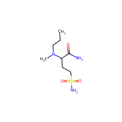 CCCN(C)C(CCS(N)(=O)=O)C(N)=O